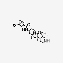 CC1CNCCC1CC(=O)N1CCC(NC(=O)c2cc(C3CC3)on2)C[C@@H]1C